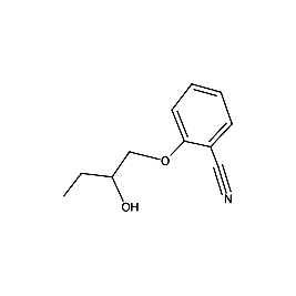 CCC(O)COc1ccccc1C#N